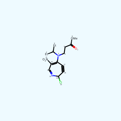 CCC(CC)N(CCC(=O)OC)C1=C([N+](=O)[O-])C=NC(Cl)C#C1